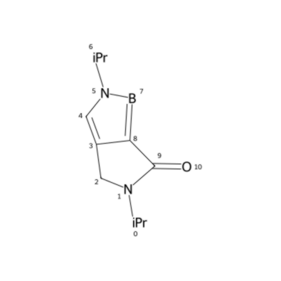 CC(C)N1Cc2cn(C(C)C)bc2C1=O